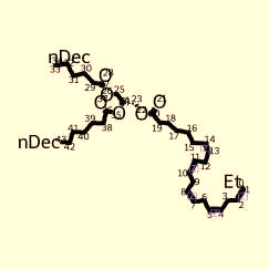 CC/C=C\C/C=C\C/C=C\C/C=C\C/C=C\CCCCCC(=O)OC[C@@H](COC(=O)CCCCCCCCCCCCCCC)OC(=O)CCCCCCCCCCCCCCC